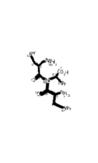 CC(C)CC(N)C(=O)N(C(=O)C(N)CC(C)C)C(C(=O)O)C(C)C